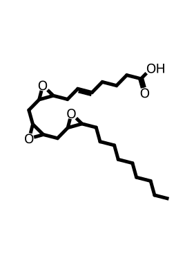 CCCCCCCCCC1OC1CC1OC1CC1OC1CC=CCCCC(=O)O